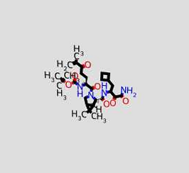 C=C(C)C(=O)CC[C@H](NC(=O)OC(C)(C)C)C(=O)N1CC2[C@@H]([C@H]1C(=O)NC(CC1CCC1)C(=O)C(N)=O)C2(C)C